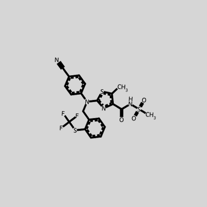 Cc1sc(N(Cc2ccccc2SC(F)(F)F)c2ccc(C#N)cc2)nc1C(=O)NS(C)(=O)=O